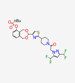 CCCCS(=O)(=O)Oc1cccc2c1COC(c1csc(C3CCN(C(=O)Cn4nc(C(F)F)cc4C(F)F)CC3)n1)OC2